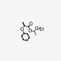 C=C(Oc1ccccc1)C(=O)OC(C)OCC